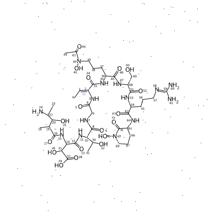 C/C=C(\NC(=O)CNC(=O)C(NC(=O)C(NC(=O)C(C)C(O)C(C)N)C(O)C(=O)O)C(C)O)C(=O)NC(CCCN(O)C(C)=O)C(=O)NC(CO)C(=O)NC(CCCN=C(N)N)C(=O)NC1CCCN(O)C1=O